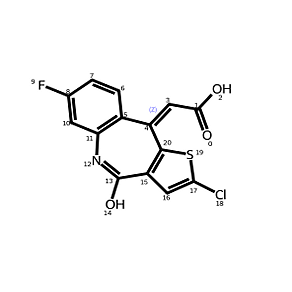 O=C(O)/C=C1/c2ccc(F)cc2N=C(O)c2cc(Cl)sc21